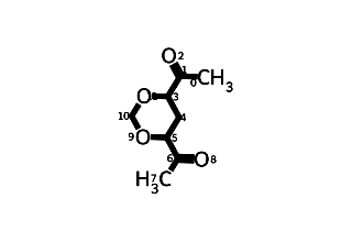 CC(=O)C1CC(C(C)=O)OCO1